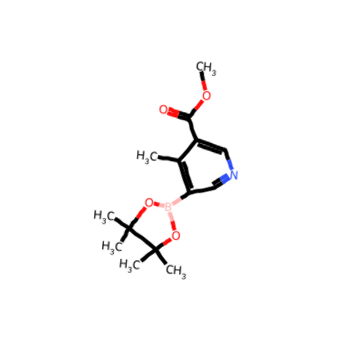 COC(=O)c1cncc(B2OC(C)(C)C(C)(C)O2)c1C